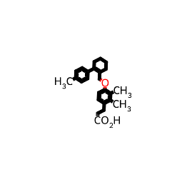 Cc1ccc(C2=C(COc3ccc(CCC(=O)O)c(C)c3C)CCCC2)cc1